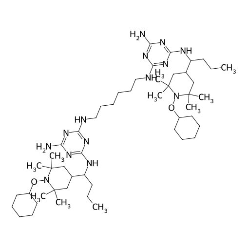 CCCC(Nc1nc(N)nc(NCCCCCCNc2nc(N)nc(NC(CCC)C3CC(C)(C)N(OC4CCCCC4)C(C)(C)C3)n2)n1)C1CC(C)(C)N(OC2CCCCC2)C(C)(C)C1